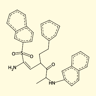 CC(Nc1ccc2ccccc2c1)C(=O)C(C=C(N)S(=O)(=O)c1ccc2ccccc2c1)CCc1ccccc1